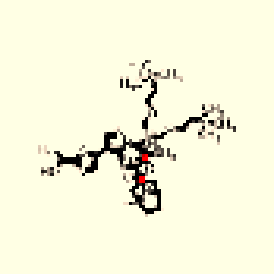 CC(O)c1ncc(-c2cnn3c(N(COCC[Si](C)(C)C)COCC[Si](C)(C)C)cc(C4CC5CC[C@H](C4)N5C(=O)OC(C)(C)C)nc23)s1